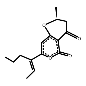 C/C=C(\CCC)c1cc2c(c(=O)o1)C(=O)C[C@H](C)O2